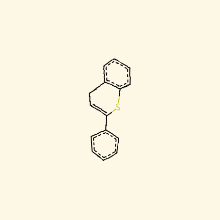 C1=C(c2ccccc2)Sc2ccccc2C1